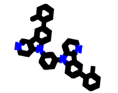 Cc1ccccc1-c1ccc2c(c1)c1cnccc1n2-c1cccc(-n2c3ccc(-c4ccccc4C)cc3c3ncccc32)c1